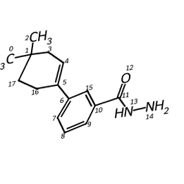 CC1(C)CC=C(c2cccc(C(=O)NN)c2)CC1